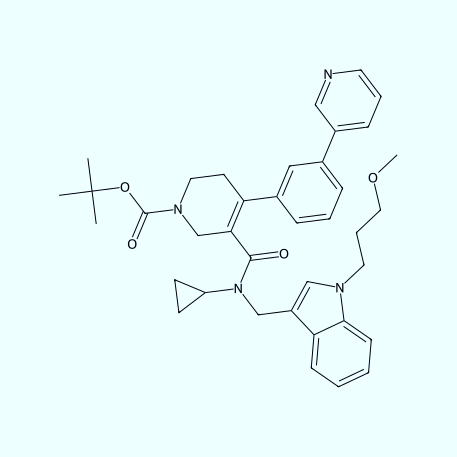 COCCCn1cc(CN(C(=O)C2=C(c3cccc(-c4cccnc4)c3)CCN(C(=O)OC(C)(C)C)C2)C2CC2)c2ccccc21